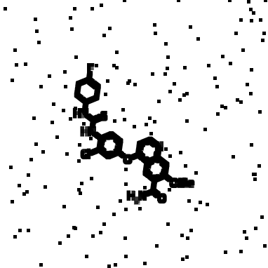 COc1cc2nccc(Oc3ccc(NC(=S)NC4CC=C(F)CC4)c(Cl)c3)c2cc1C(N)=O